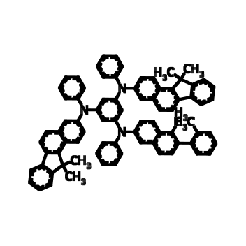 Cc1ccccc1-c1ccc2cc(N(c3ccccc3)c3cc(N(c4ccccc4)c4ccc5c6c(ccc5c4)-c4ccccc4C6(C)C)cc(N(c4ccccc4)c4ccc5c6c(ccc5c4)-c4ccccc4C6(C)C)c3)ccc2c1C